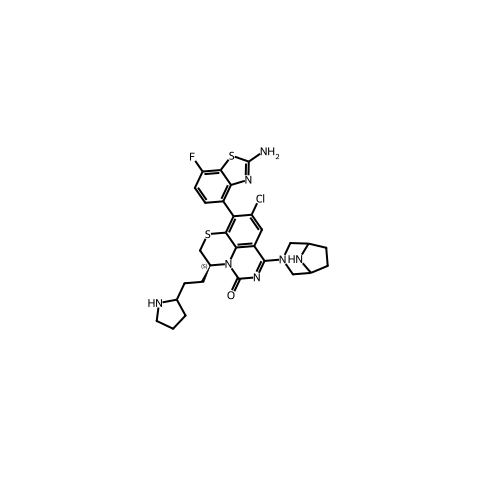 Nc1nc2c(-c3c(Cl)cc4c(N5CC6CCC(C5)N6)nc(=O)n5c4c3SC[C@@H]5CCC3CCCN3)ccc(F)c2s1